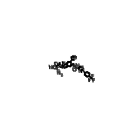 CC(C)(O)CCn1cc2cc(NC(=O)c3csc(-c4ccc(C(F)(F)F)cc4)n3)c(-c3ccoc3)cc2n1